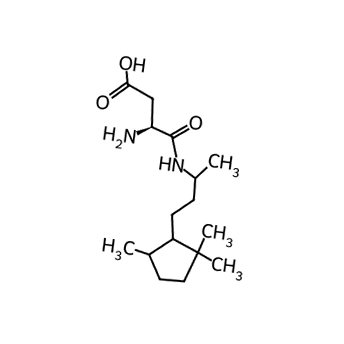 CC(CCC1C(C)CCC1(C)C)NC(=O)[C@@H](N)CC(=O)O